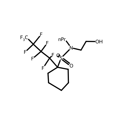 CCCN(CCO)S(=O)(=O)C1(C(F)(F)C(F)(F)C(F)(F)C(F)(F)F)CCCCC1